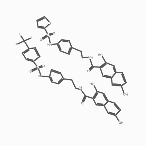 O=C(NCCc1ccc(NS(=O)(=O)c2ccc(C(F)(F)F)cc2)cc1)c1cc2cc(O)ccc2cc1O.O=C(NCCc1ccc(NS(=O)(=O)c2cccs2)cc1)c1cc2cc(O)ccc2cc1O